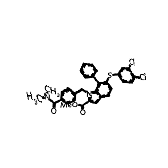 COC(=O)c1cc2ccc(Sc3ccc(Cl)c(Cl)c3)c(-c3ccccc3)c2n1Cc1ccc(C(=O)N(C)C)cc1